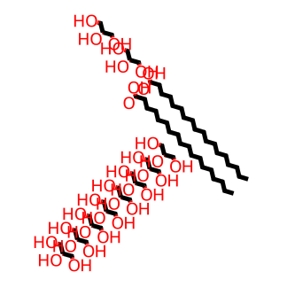 CCCCCCCCCCCCCCCCCC(=O)O.CCCCCCCCCCCCCCCCCC(=O)O.OCC(O)CO.OCC(O)CO.OCC(O)CO.OCC(O)CO.OCC(O)CO.OCC(O)CO.OCC(O)CO.OCC(O)CO.OCC(O)CO.OCC(O)CO